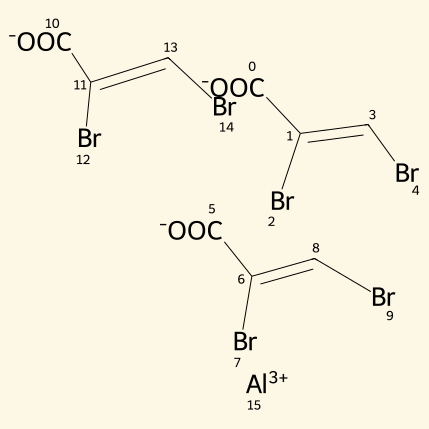 O=C([O-])/C(Br)=C/Br.O=C([O-])/C(Br)=C/Br.O=C([O-])/C(Br)=C/Br.[Al+3]